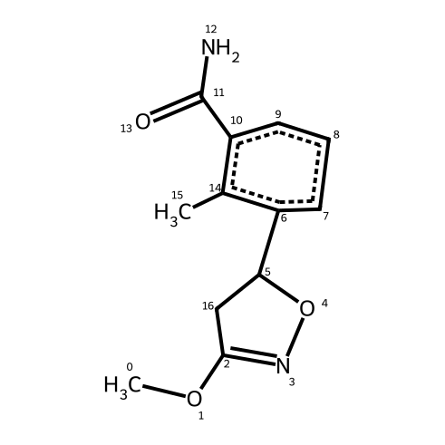 COC1=NOC(c2cccc(C(N)=O)c2C)C1